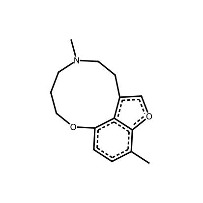 Cc1ccc2c3c(coc13)CCN(C)CCCO2